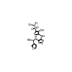 CCN(CC)S(=O)(=O)c1scc(Nc2nsnc2N[C@@H](c2ccoc2)C(C)(C)C)c1O